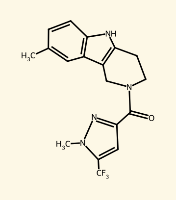 Cc1ccc2[nH]c3c(c2c1)CN(C(=O)c1cc(C(F)(F)F)n(C)n1)CC3